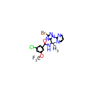 CC(NC(=O)c1cc(Cl)cc(OC(F)(F)F)c1)c1nc(Br)nn1-c1ncccn1